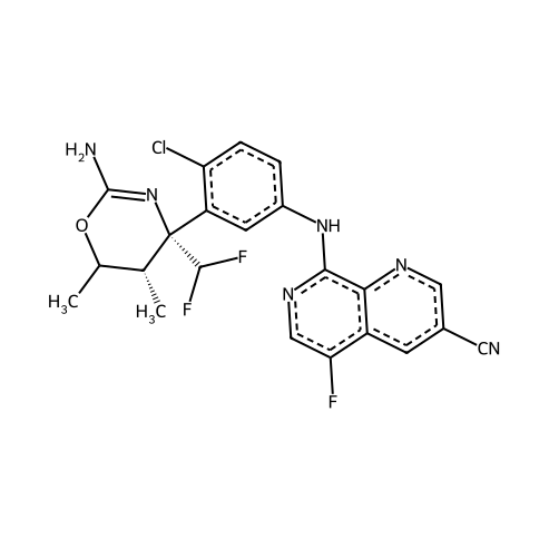 CC1OC(N)=N[C@](c2cc(Nc3ncc(F)c4cc(C#N)cnc34)ccc2Cl)(C(F)F)[C@@H]1C